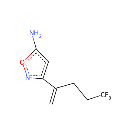 C=C(CCC(F)(F)F)c1cc(N)on1